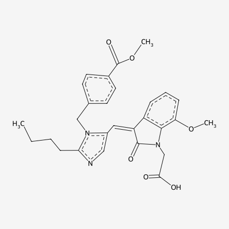 CCCCc1ncc(/C=C2\C(=O)N(CC(=O)O)c3c(OC)cccc32)n1Cc1ccc(C(=O)OC)cc1